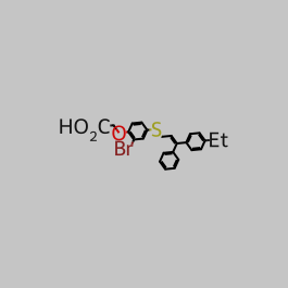 CCc1ccc(C(=CCSc2ccc(OCC(=O)O)c(Br)c2)c2ccccc2)cc1